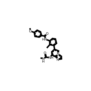 CNC(=O)Nc1cc(-c2cccc(NC(=O)c3ccc(OC)cc3)c2C)cn2ccnc12